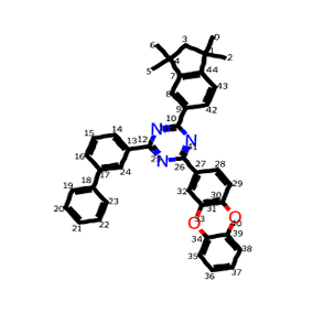 CC1(C)CC(C)(C)c2cc(-c3nc(-c4cccc(-c5ccccc5)c4)nc(-c4ccc5c(c4)Oc4ccccc4O5)n3)ccc21